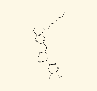 COCCCCOc1cc(C[C@@H](C[C@H](N)[C@@H](O)C[C@@H](C)C(=O)O)C(C)C)ccc1OC